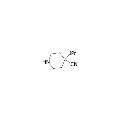 CC(C)C1(C#N)CCNCC1